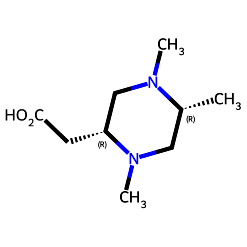 C[C@@H]1CN(C)[C@H](CC(=O)O)CN1C